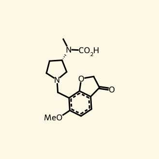 COc1ccc2c(c1CN1CC[C@H](N(C)C(=O)O)C1)OCC2=O